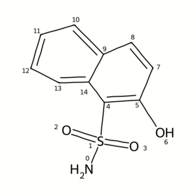 NS(=O)(=O)c1c(O)ccc2ccccc12